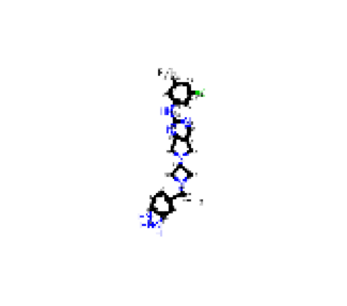 C=C(c1ccc2c(c1)NNN2)N1CC(N2Cc3cnc(Nc4cc(Cl)cc(C(F)(F)F)c4)nc3C2)C1